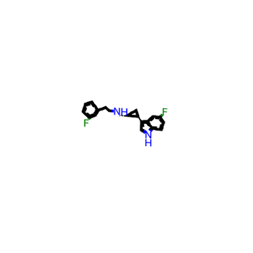 Fc1cccc(CCNC[C@@H]2C[C@H]2c2c[nH]c3ccc(F)cc23)c1